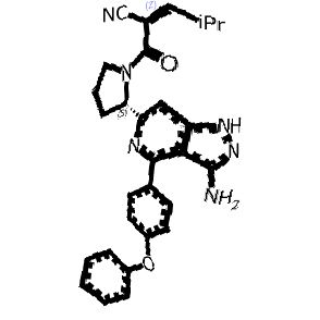 CC(C)/C=C(/C#N)C(=O)N1CCC[C@H]1c1cc2[nH]nc(N)c2c(-c2ccc(Oc3ccccc3)cc2)n1